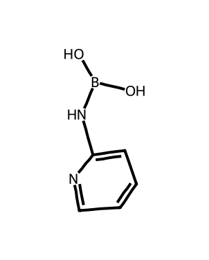 OB(O)Nc1ccccn1